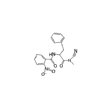 CN(C#N)C(=O)C(Cc1ccccc1)NC(=O)c1ccccc1[N+](=O)[O-]